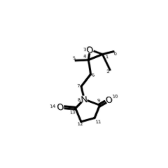 CC1(C)OC1(C)CCN1C(=O)CCC1=O